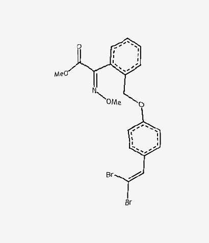 CO/N=C(/C(=O)OC)c1ccccc1COc1ccc(C=C(Br)Br)cc1